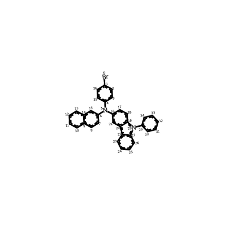 Brc1ccc(N(c2ccc3ccccc3c2)c2ccc3c(c2)c2ccccc2n3-c2ccccc2)cc1